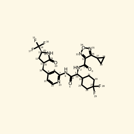 O=C(N[C@H](C(=O)Nc1cc(C[C@H]2C[C@@H](C(F)(F)F)NC2=O)ccn1)C1CCC(F)(F)CC1)c1nonc1C1CC1